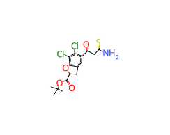 CC(C)(C)OC(=O)C1Cc2cc(C(=O)CC(N)=S)c(Cl)c(Cl)c2O1